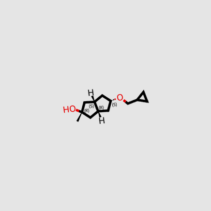 C[C@]1(O)C[C@H]2C[C@@H](OCC3CC3)C[C@H]2C1